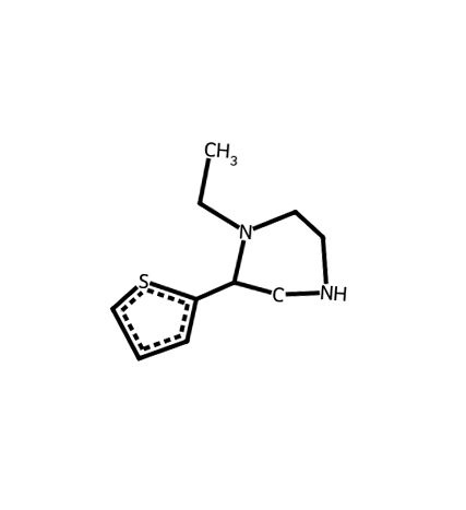 CCN1CCNCC1c1cccs1